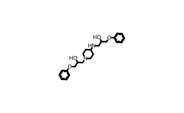 OC(CNC1CCN(CC(O)COc2ccccc2)CC1)COc1ccccc1